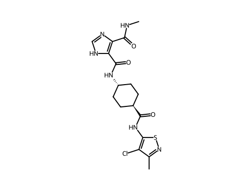 CNC(=O)c1nc[nH]c1C(=O)N[C@H]1CC[C@H](C(=O)Nc2snc(C)c2Cl)CC1